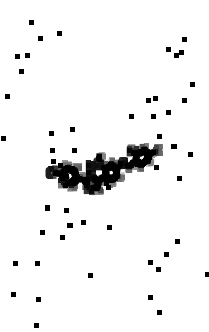 COc1cc(OCc2ccc(F)cc2F)ccc1-c1cnc(-c2ccc(Cl)nc2)[nH]1